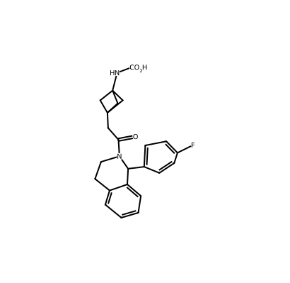 O=C(O)NC12CC(CC(=O)N3CCc4ccccc4C3c3ccc(F)cc3)(C1)C2